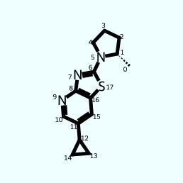 C[C@H]1CCCN1c1nc2ncc(C3CC3)cc2s1